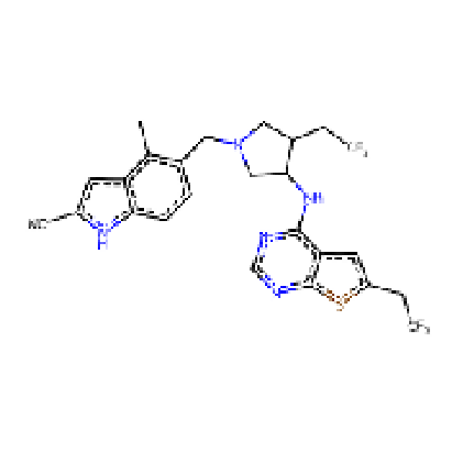 Cc1c(CN2CC(CC(F)(F)F)C(Nc3ncnc4sc(CC(F)(F)F)cc34)C2)ccc2[nH]c(C#N)cc12